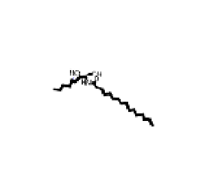 CCCC/C=C/[C@@H](O)[C@H](CO)NC(=O)CCCCCCCCCCCCCCC